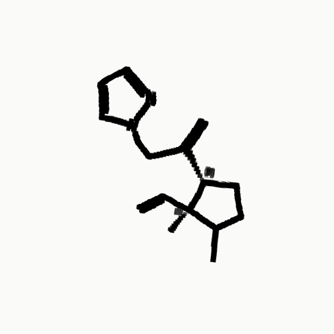 C=C[C@]1(C)C(C)CC[C@H]1C(=C)Cn1cccn1